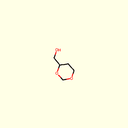 OCC1CCOCO1